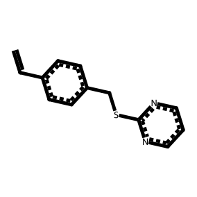 C=Cc1ccc(CSc2ncccn2)cc1